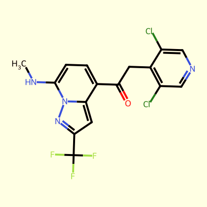 CNc1ccc(C(=O)Cc2c(Cl)cncc2Cl)c2cc(C(F)(F)F)nn12